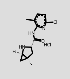 Cc1ccc(Cl)nc1NC(=O)[C@@H]1C[C@@]2(C)C[C@H]2N1.Cl